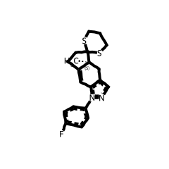 C[C@]12Cc3cnn(-c4ccc(F)cc4)c3C=C1CCC21SCCCS1